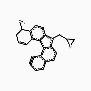 CC1CC=Cc2c1ccc1c2c2c3c#cccc3ccc2n1CC1CO1